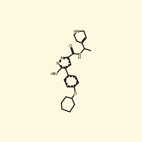 CCCCc1nnc(C(=O)NC(C)C2=CCNCC2)cc1-c1ccc(OC2CCCCC2)cc1